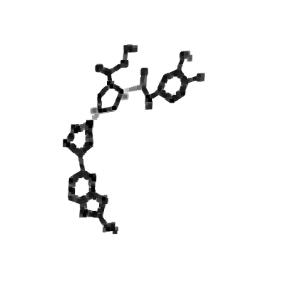 CC(C)(C)OC(=O)N1C[C@@H](n2cc(-c3ccc4nc(N)sc4n3)nn2)C[C@H]1C(=O)Nc1ccc(Cl)c(C(F)(F)F)c1